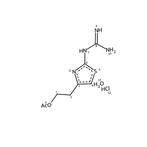 CC(=O)OCCc1csc(NC(=N)N)n1.Cl.O